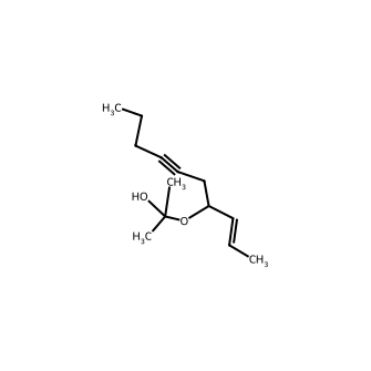 C/C=C/C(CC#CCCC)OC(C)(C)O